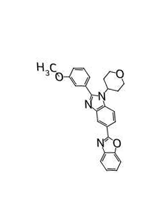 COc1cccc(-c2nc3cc(-c4nc5ccccc5o4)ccc3n2C2CCOCC2)c1